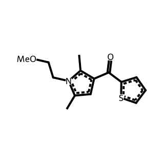 COCCn1c(C)cc(C(=O)c2cccs2)c1C